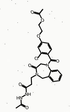 CC(=O)NNC(=O)CCN1Cc2ccccc2N(C(=O)c2ccc(OCCOC(C)=O)cc2Cl)CC1=O